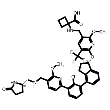 COc1nc(-c2cccc(-c3cccc4c3CC[C@@H]4Oc3nc(OC)c(CNC4(C(=O)O)CCC4)cc3C(F)(F)F)c2Cl)ccc1CNC[C@@H]1CCC(=O)N1